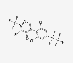 O=c1c(Br)c(C(F)(F)F)ncn1-c1c(Cl)cc(C(F)(F)C(F)(F)F)cc1Cl